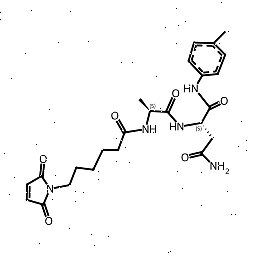 [CH2]c1ccc(NC(=O)[C@H](CC(N)=O)NC(=O)[C@H](C)NC(=O)CCCCCN2C(=O)C=CC2=O)cc1